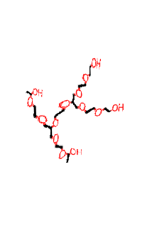 CC(O)OCCOCC(COCCOC(C)O)OCCOC(COCCOCCO)COCCOCCO